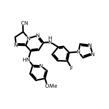 COc1ccc(NC2=CC(Nc3ccc(F)c(-n4cnnc4)c3)=NN3C2=NCC3C#N)nc1